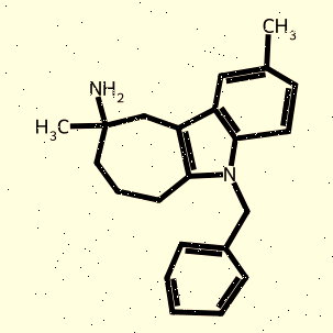 Cc1ccc2c(c1)c1c(n2Cc2ccccc2)CCCC(C)(N)C1